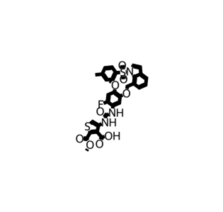 COC(=O)c1scc(NC(=O)Nc2cc(OCc3cccc4ccn(S(=O)(=O)c5ccc(C)cc5)c34)c(OC)cc2F)c1C(=O)O